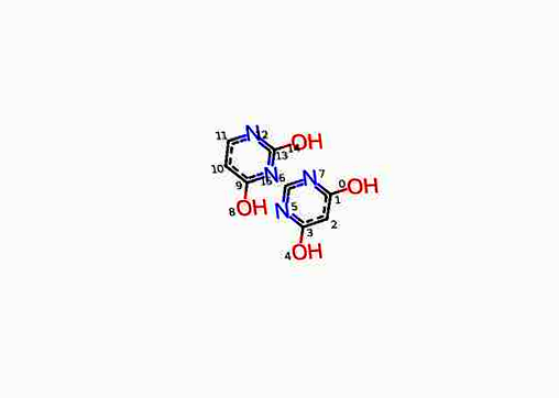 Oc1cc(O)ncn1.Oc1ccnc(O)n1